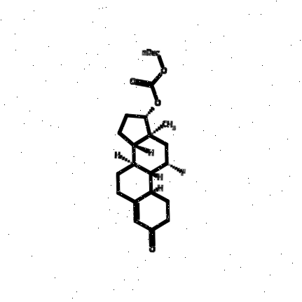 CCCCCCCCCCOC(=O)O[C@H]1CC[C@H]2[C@@H]3CCC4=CC(=O)CC[C@@H]4[C@H]3[C@@H](F)C[C@]12C